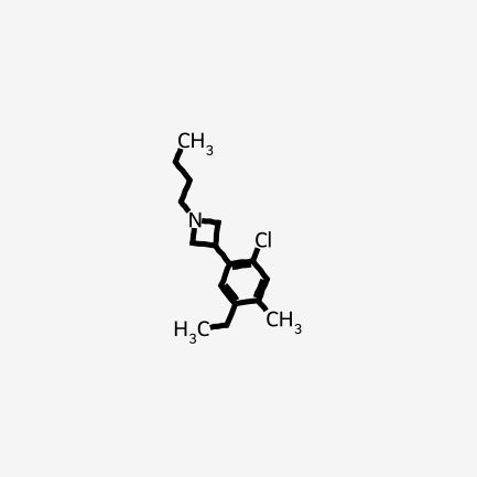 CCCCN1CC(c2cc(CC)c(C)cc2Cl)C1